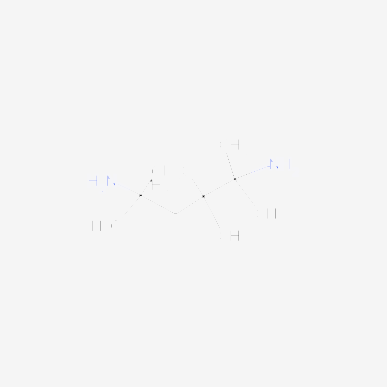 CC(C)(N)CC(C)(C)C(C)(C)N